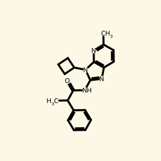 Cc1ccc2nc(NC(=O)C(C)c3ccccc3)n(C3CCC3)c2n1